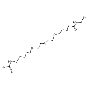 CC(C)CNC(=O)COCCOCCOCCOCCCCCNC(=O)C(C)C